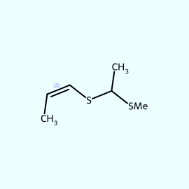 C/C=C\SC(C)SC